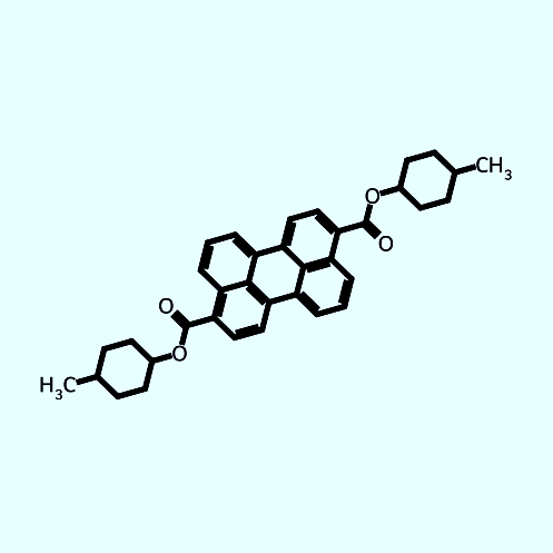 CC1CCC(OC(=O)c2ccc3c4cccc5c(C(=O)OC6CCC(C)CC6)ccc(c6cccc2c63)c54)CC1